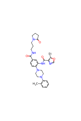 CCc1ocnc1C(=O)Nc1cc(C(=O)NCCCN2CCCC2=O)ccc1N1CCN(c2ccccc2C)CC1